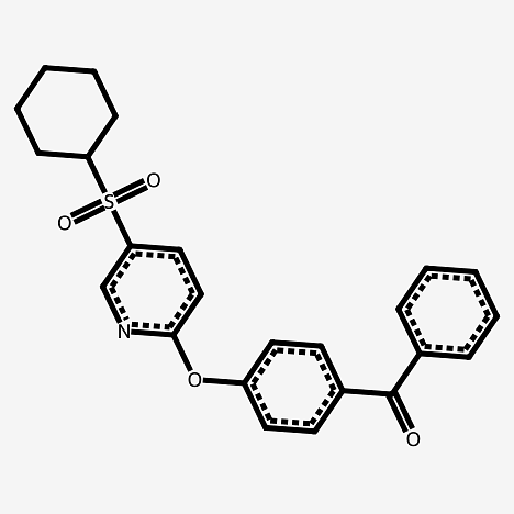 O=C(c1ccccc1)c1ccc(Oc2ccc(S(=O)(=O)C3CCCCC3)cn2)cc1